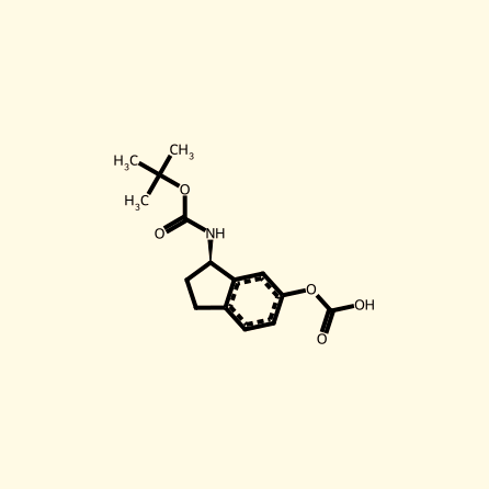 CC(C)(C)OC(=O)N[C@@H]1CCc2ccc(OC(=O)O)cc21